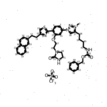 C[n+]1nn(-c2ccc(-c3nc(CCc4ccc5ccccc5c4)cs3)c(OCCN3CCNC3=O)c2)cc1CCCCNC(=O)OCc1ccccc1.O=S(=O)([O-])C(F)(F)F